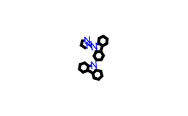 c1ccc2c(c1)c1ccccc1n2-c1ccc2c3ccccc3n(-n3cccn3)c2c1